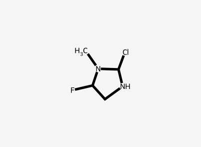 CN1C(F)CNC1Cl